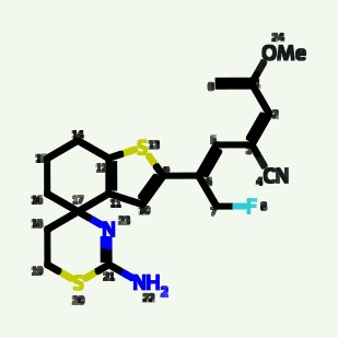 C=C(/C=C(C#N)\C=C(/CF)c1cc2c(s1)CCCC21CCSC(N)=N1)OC